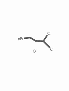 CCCCCC(Cl)Cl.[B]